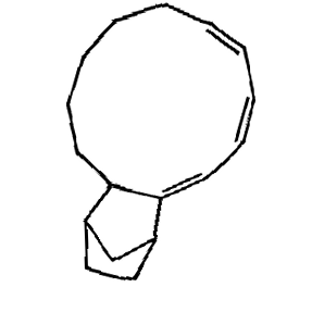 C1=CC=C2C3CCC(C3)C2CCCCCC=C1